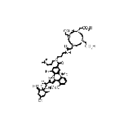 C=C1CC(CC)CC(C)C1(NC(=O)c1cc(-c2c(OC)cccc2OC)n(-c2ccc(C(=O)N(CCCNC(=O)CN3CCN(CC(=O)O)CCN(CC(=O)O)CCN(CC(=O)O)CC3)CCCN(C)C)cc2C(C)C)n1)C(=O)O